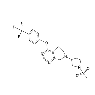 CS(=O)(=O)N1CCC(N2CCc3c(ncnc3Oc3ccc(C(F)(F)F)cc3)C2)C1